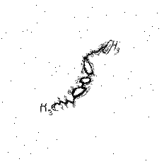 CCCCCCCc1ccc(-c2ccc(C3=CCC(CCCCCC)CC3)cc2)cc1